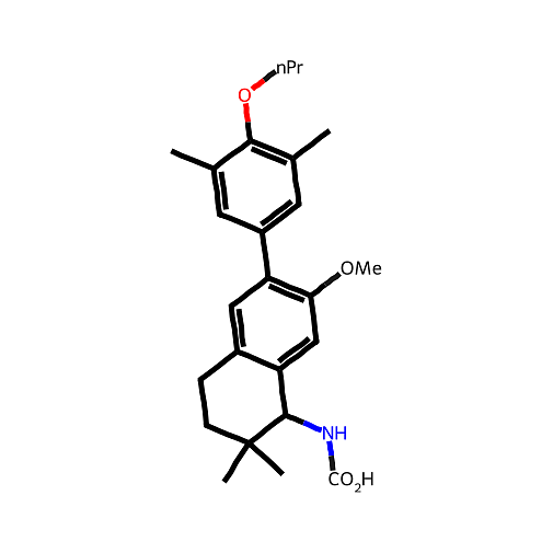 CCCOc1c(C)cc(-c2cc3c(cc2OC)C(NC(=O)O)C(C)(C)CC3)cc1C